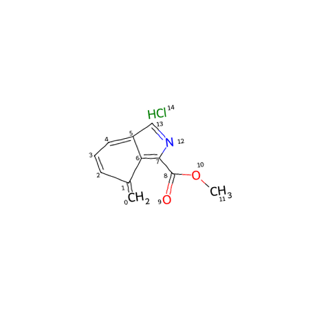 C=c1cccc2c1=C(C(=O)OC)N=C2.Cl